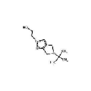 CC(C)(C)N1Cc2cn(CCO)nc2C1